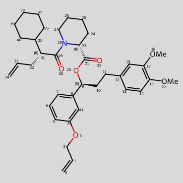 C=CCOc1cccc([C@H](CCc2ccc(OC)c(OC)c2)OC(=O)[C@H]2CCCCN2C(=O)[C@H](CC=C)C2CCCCC2)c1